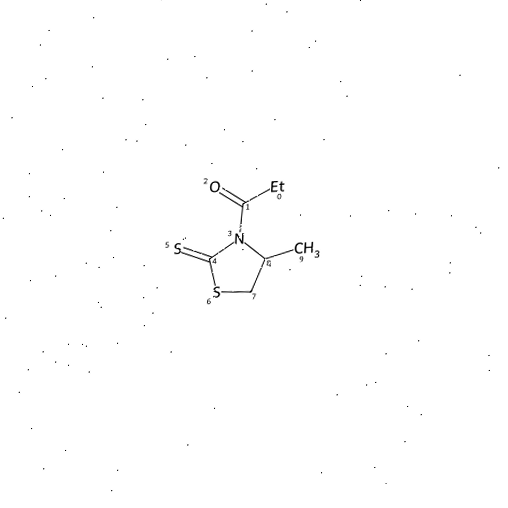 CCC(=O)N1C(=S)SCC1C